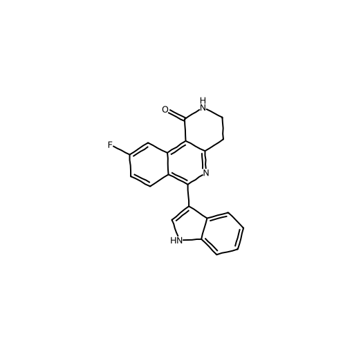 O=C1NCCc2nc(-c3c[nH]c4ccccc34)c3ccc(F)cc3c21